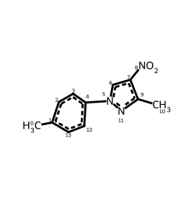 Cc1ccc(-n2cc([N+](=O)[O-])c(C)n2)cc1